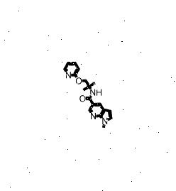 Cn1ccc2cc(C(=O)NC(C)(C)COc3ccccn3)cnc21